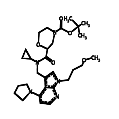 COCCCn1cc(CN(C(=O)C2CN(C(=O)OC(C)(C)C)CCO2)C2CC2)c2c(N3CCCC3)ccnc21